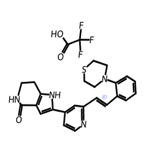 O=C(O)C(F)(F)F.O=C1NCCc2[nH]c(-c3ccnc(/C=C/c4ccccc4N4CCSCC4)c3)cc21